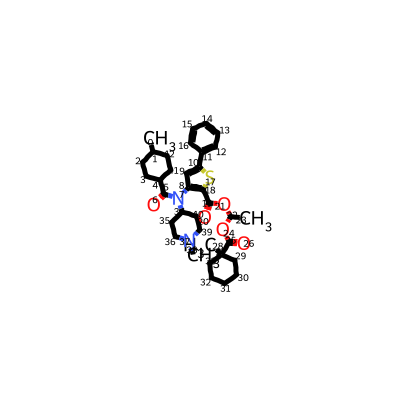 CC1CCC(C(=O)N(c2cc(-c3ccccc3)sc2C(=O)OC(C)OC(=O)C2(C)CCCCC2)C2CCN(C)CC2)CC1